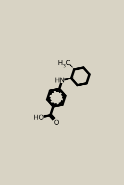 C[C@@H]1CCCC[C@H]1Nc1ccc(C(=O)O)cc1